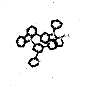 CN1CC=Cc2c1n(-c1ccccc1)c1cc(-c3cccc4c5ccccc5n(-c5cc(-c6ccccn6)cc(-c6ccccn6)c5)c34)ccc21